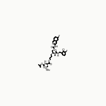 C=C(C)OC(=O)N[C@H](COC(C)(C)C)C(=O)OCCCC[C@@H](COC(=O)Nc1cc2cc(F)ccc2cn1)N(C)C(=O)NCc1cccc(F)c1Cl